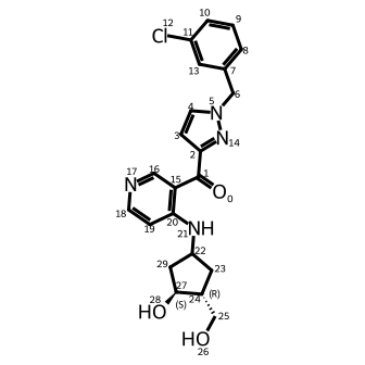 O=C(c1ccn(Cc2cccc(Cl)c2)n1)c1cnccc1NC1C[C@H](CO)[C@@H](O)C1